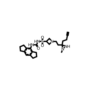 C#CCCC1(CCN2CC(S(=O)(=O)NC(=O)Nc3c4c(cc5c3CCC5)CCC4)C2)NN1C